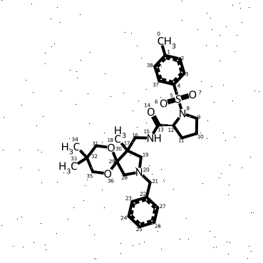 Cc1ccc(S(=O)(=O)N2CCC[C@H]2C(=O)NCC2(C)CN(Cc3ccccc3)CC23OCC(C)(C)CO3)cc1